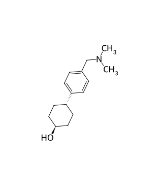 CN(C)Cc1ccc([C@H]2CC[C@H](O)CC2)cc1